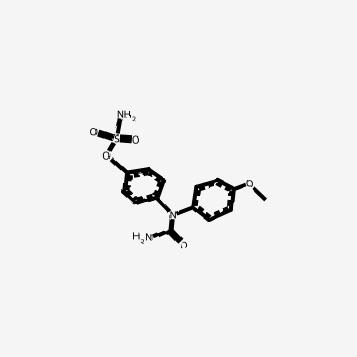 COc1ccc(N(C(N)=O)c2ccc(OS(N)(=O)=O)cc2)cc1